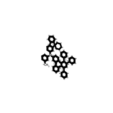 Cc1cccc(N(c2ccc3c(c2)C2(CCCCC2)c2ccccc2-3)c2ccc3c(c2)c2ccccc2c2c(-c4ccccc4)cc(-c4ccccc4)c(-c4ccccc4)c32)c1